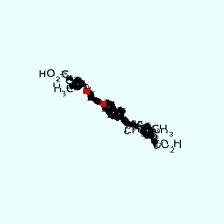 CC(C#Cc1ccc2c(c1)Cc1cc(C#CC=CCSc3ccc(OCC(=O)O)c(C)c3)ccc1-2)=CCSc1ccc(OCC(=O)O)c(C)c1